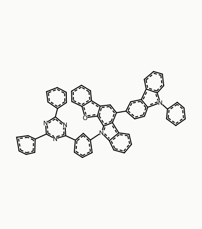 c1ccc(-c2nc(-c3ccccc3)nc(-c3cccc(-n4c5ccccc5c5c(-c6ccc7c(c6)c6ccccc6n7-c6ccccc6)cc6c7ccccc7oc6c54)c3)n2)cc1